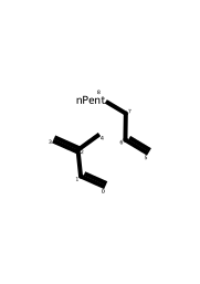 C=CC(=C)C.C=CCCCCCC